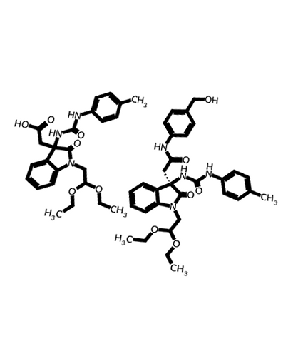 CCOC(CN1C(=O)C(CC(=O)O)(NC(=O)Nc2ccc(C)cc2)c2ccccc21)OCC.CCOC(CN1C(=O)[C@](CC(=O)Nc2ccc(CO)cc2)(NC(=O)Nc2ccc(C)cc2)c2ccccc21)OCC